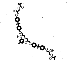 C=C(C)C(=O)OCC(O)COc1ccc(C(C)(C)c2ccc(OCC(O)CN(CC(O)COc3ccc(C(C)(C)c4ccc(OCC(O)COC(=O)C(=C)C)cc4)cc3)c3ccc(C)cc3)cc2)cc1